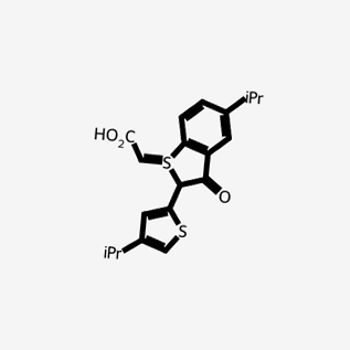 CC(C)c1csc(C2C(=O)c3cc(C(C)C)ccc3S2=CC(=O)O)c1